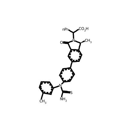 CCCC(C(=O)O)N1C(=O)c2cc(-c3ccc(N(C(N)=S)c4cccc(C)c4)cc3)ccc2[C@@H]1C